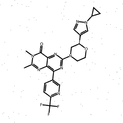 Cc1nc2c(-c3ccc(C(F)(F)F)nc3)nc(N3CCO[C@H](c4cnn(C5CC5)c4)C3)nc2c(=O)n1C